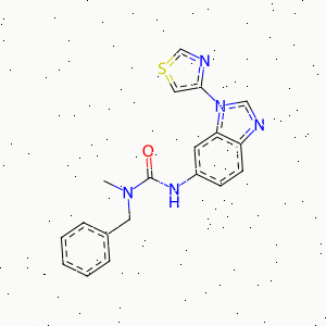 CN(Cc1ccccc1)C(=O)Nc1ccc2ncn(-c3cscn3)c2c1